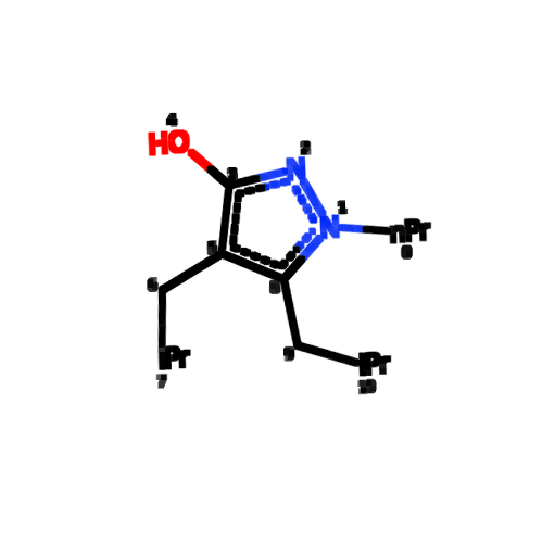 CCCn1nc(O)c(CC(C)C)c1CC(C)C